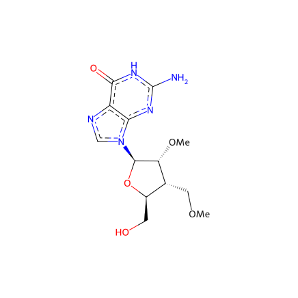 COC[C@H]1[C@@H](OC)[C@H](n2cnc3c(=O)[nH]c(N)nc32)O[C@@H]1CO